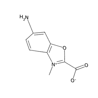 C[n+]1c(C(=O)[O-])oc2cc(N)ccc21